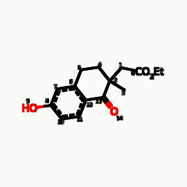 CCOC(=O)CC1(C)CCc2cc(O)ccc2C1=O